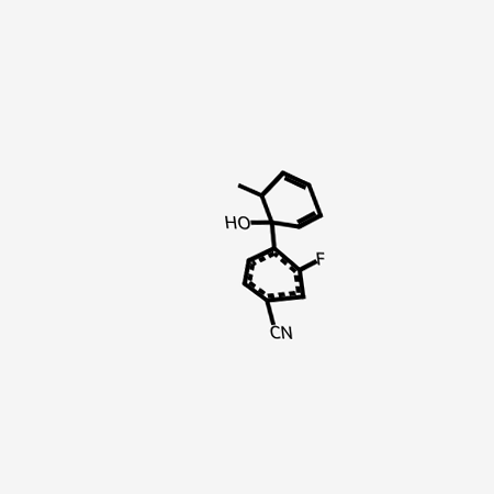 CC1C=CC=CC1(O)c1ccc(C#N)cc1F